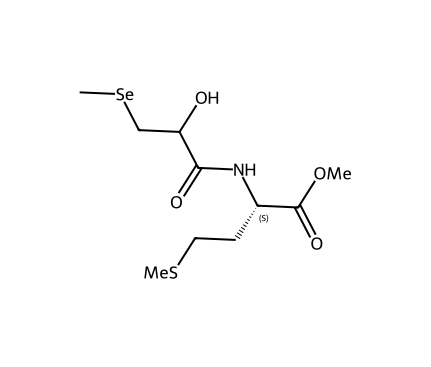 COC(=O)[C@H](CCSC)NC(=O)C(O)C[Se]C